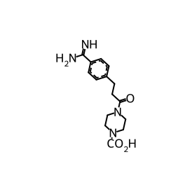 N=C(N)c1ccc(CCC(=O)N2CCN(C(=O)O)CC2)cc1